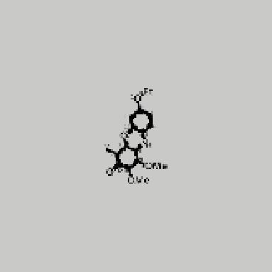 CCOc1ccc2nc3c(OC)c(OC)c(=O)c(C)c-3oc2c1